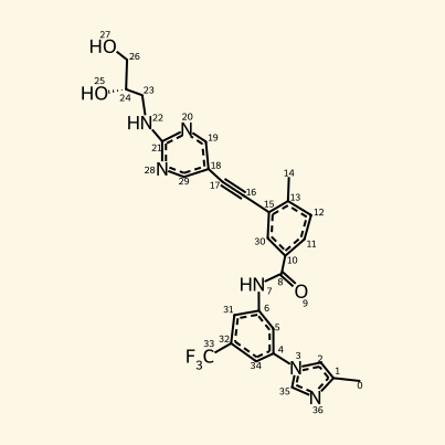 Cc1cn(-c2cc(NC(=O)c3ccc(C)c(C#Cc4cnc(NC[C@H](O)CO)nc4)c3)cc(C(F)(F)F)c2)cn1